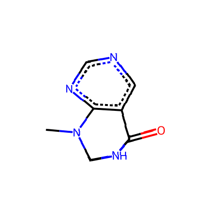 CN1CNC(=O)c2cncnc21